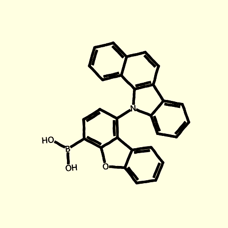 OB(O)c1ccc(-n2c3ccccc3c3ccc4ccccc4c32)c2c1oc1ccccc12